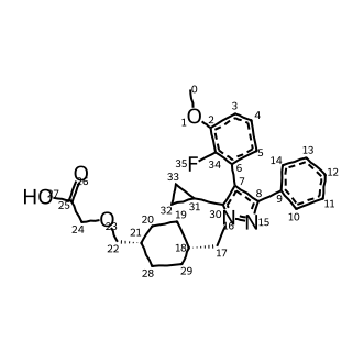 COc1cccc(-c2c(-c3ccccc3)nn(C[C@H]3CC[C@@H](COCC(=O)O)CC3)c2C2CC2)c1F